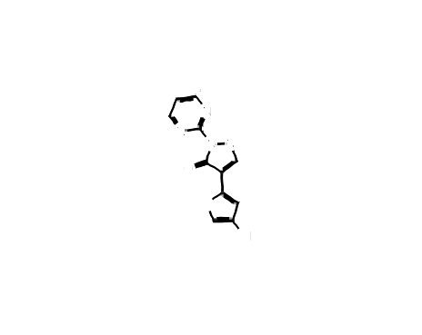 O=c1c(-c2cc(C(F)(F)F)cs2)c[nH]n1-c1ncccn1